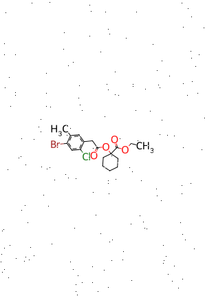 CCOC(=O)C1(OC(=O)Cc2cc(C)c(Br)cc2Cl)CCCCC1